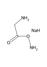 NCC(=O)ON.[NaH]